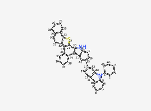 c1ccc(-n2c3ccccc3c3ccc(-c4ccc5[nH]c6c7sc8c9ccccc9ccc8c7c7ccccc7c6c5c4)cc32)cc1